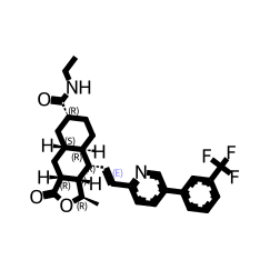 CCNC(=O)[C@@H]1CC[C@@H]2[C@@H](C1)C[C@H]1C(=O)O[C@H](C)[C@H]1[C@H]2/C=C/c1ccc(-c2cccc(C(F)(F)F)c2)cn1